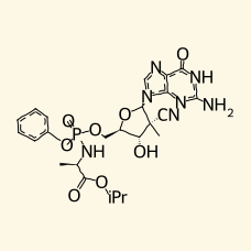 CC(C)OC(=O)[C@@H](C)NP(=O)(OC[C@H]1O[C@@H](n2cnc3c(=O)[nH]c(N)nc32)[C@](C)(C#N)[C@@H]1O)Oc1ccccc1